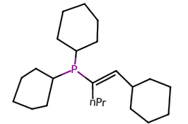 CCCC(=CC1CCCCC1)P(C1CCCCC1)C1CCCCC1